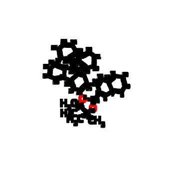 CC1(C)OB(c2cc3ccccc3cc2-c2ccc3c(c2)C(c2ccccc2)(c2ccccc2)c2ccccc2-3)OC1(C)C